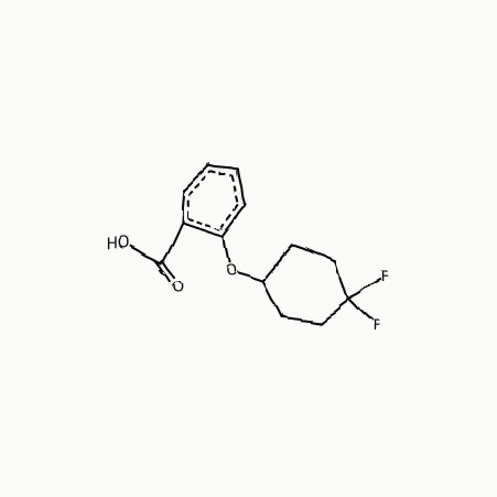 O=C(O)c1ccccc1OC1CCC(F)(F)CC1